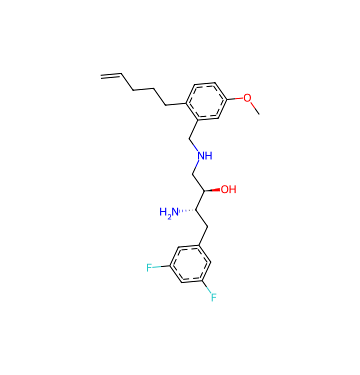 C=CCCCc1ccc(OC)cc1CNC[C@@H](O)[C@@H](N)Cc1cc(F)cc(F)c1